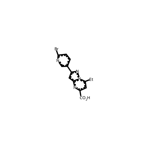 CCc1cc(C(=O)O)nc2cc(-c3ccc(Br)nc3)nn12